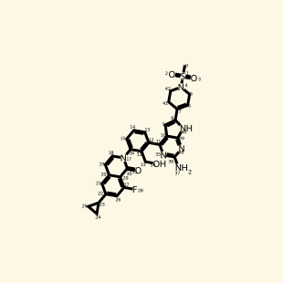 CS(=O)(=O)N1CC=C(c2cc3c(-c4cccc(-n5ccc6cc(C7CC7)cc(F)c6c5=O)c4CO)nc(N)nc3[nH]2)CC1